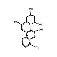 Nc1cccc2c1cc(O)c1c3c(c(O)cc12)CC(O)CC3O